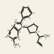 C=CC(O)N1CCC(n2c(-c3ccccc3)nc3cnc(N)nc32)C1